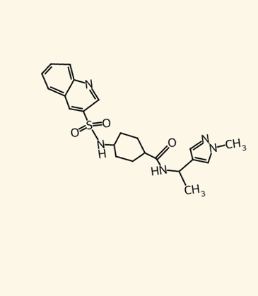 CC(NC(=O)C1CCC(NS(=O)(=O)c2cnc3ccccc3c2)CC1)c1cnn(C)c1